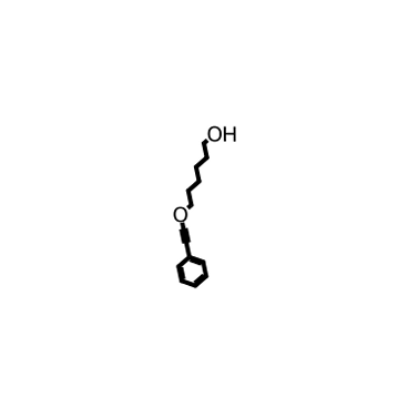 OCCCCCCOC#Cc1ccccc1